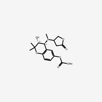 COC(=O)Oc1ccc2c(c1)[C@H](N(C)C1COC(=O)C1)[C@@H](O)C(C)(C)O2